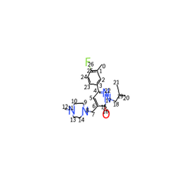 Cc1cc(-c2cc(CN3CCN(C)CC3)c(=O)n(CC(C)C)n2)ccc1F